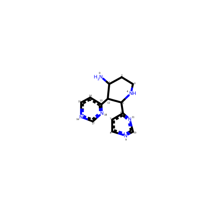 NC1CCNC(c2ccncn2)C1c1ccncn1